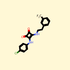 O=c1c(NCCc2cccc(C(F)(F)F)c2)c(Nc2ccc(Cl)cc2)c1=O